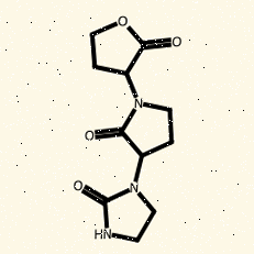 O=C1OCCC1N1CCC(N2CCNC2=O)C1=O